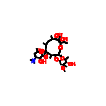 CC[C@H]1OC[C@@H](C)C(O[C@@H]2C[C@@](C)(OC)[C@@H](O)[C@H](C)O2)C(C)C(O[C@@H]2O[C@H](C)C[C@H](N(C)C)[C@H]2O)C(C)(O)CC(C)CC(C)[C@@H](O)[C@]1(C)O